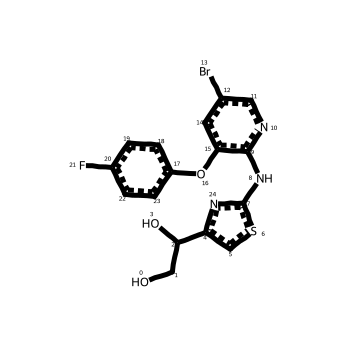 OCC(O)c1csc(Nc2ncc(Br)cc2Oc2ccc(F)cc2)n1